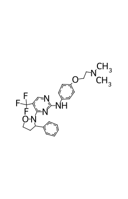 CN(C)CCOc1ccc(Nc2ncc(C(F)(F)F)c(N3OCCC3c3ccccc3)n2)cc1